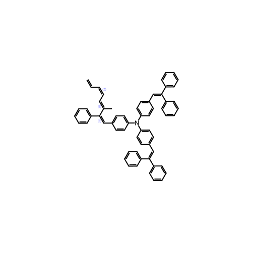 C=C\C=C/C=C(C)/C(=C\c1ccc(N(c2ccc(C=C(c3ccccc3)c3ccccc3)cc2)c2ccc(C=C(c3ccccc3)c3ccccc3)cc2)cc1)c1ccccc1